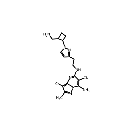 Cc1nn2c(N)c(C#N)c(NCCc3ccn(C4CCC4CN)n3)nc2c1Cl